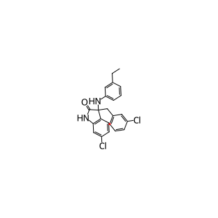 CCc1cccc(NC2(Cc3cccc(Cl)c3)C(=O)Nc3cc(Cl)ccc32)c1